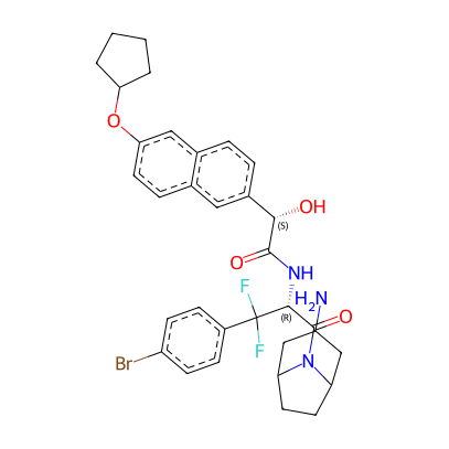 NC1CC2CCC(C1)N2C(=O)[C@@H](NC(=O)[C@@H](O)c1ccc2cc(OC3CCCC3)ccc2c1)C(F)(F)c1ccc(Br)cc1